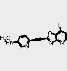 CNc1ccc(C#Cc2nc3nccc(F)c3o2)nc1